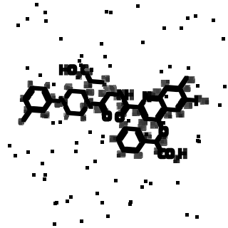 Cc1cccc(N2CCN(C(=O)[C@H](CCC(=O)O)NC(=O)c3cc(OC(C(=O)O)c4ccccc4)c4cc(F)c(C)cc4n3)CC2)c1